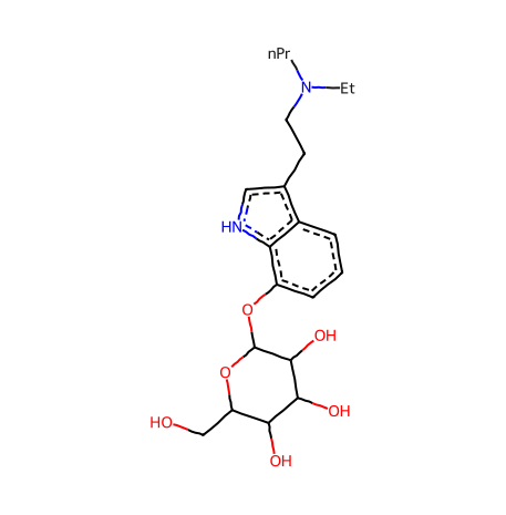 CCCN(CC)CCc1c[nH]c2c(OC3OC(CO)C(O)C(O)C3O)cccc12